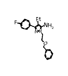 CCc1c(-c2ccc(F)cc2)nn(CCOCc2ccccc2)c1N